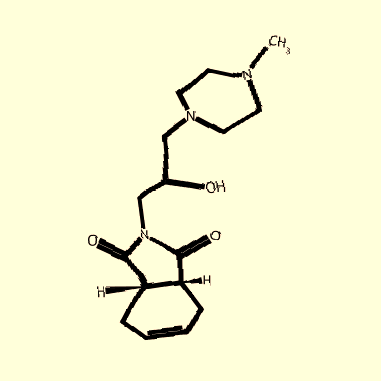 CN1CCN(CC(O)CN2C(=O)[C@H]3CC=CC[C@H]3C2=O)CC1